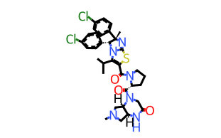 CC(C)C1=C(C(=O)N2CCC[C@@H]2C(=O)N2CC(=O)N[C@H]3CN(C)C[C@@H]32)SC2=N[C@@](C)(c3ccc(Cl)cc3)[C@@H](c3ccc(Cl)cc3)N21